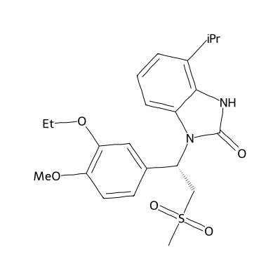 CCOc1cc([C@@H](CS(C)(=O)=O)n2c(=O)[nH]c3c(C(C)C)cccc32)ccc1OC